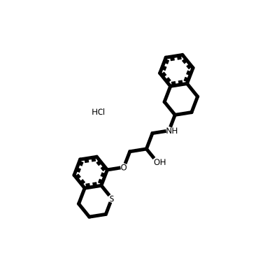 Cl.OC(CNC1CCc2ccccc2C1)COc1cccc2c1SCCC2